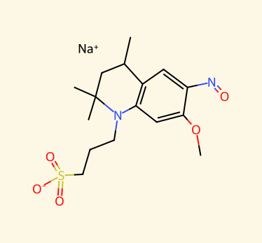 COc1cc2c(cc1N=O)C(C)CC(C)(C)N2CCCS(=O)(=O)[O-].[Na+]